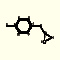 Cc1ccc(CC2CO2)cc1